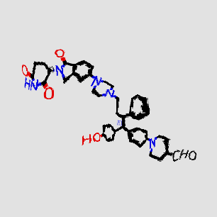 O=CC1CCN(c2ccc(/C(=C(/CCN3CCN(c4ccc5c(c4)CN([C@H]4CCC(=O)NC4=O)C5=O)CC3)c3ccccc3)c3ccc(O)cc3)cc2)CC1